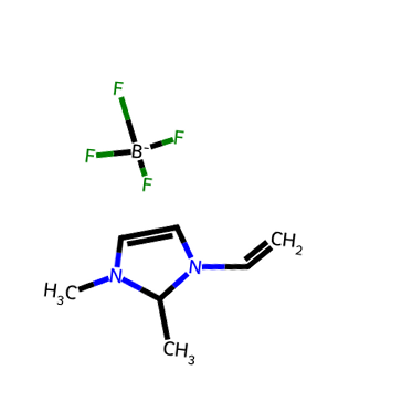 C=CN1C=CN(C)C1C.F[B-](F)(F)F